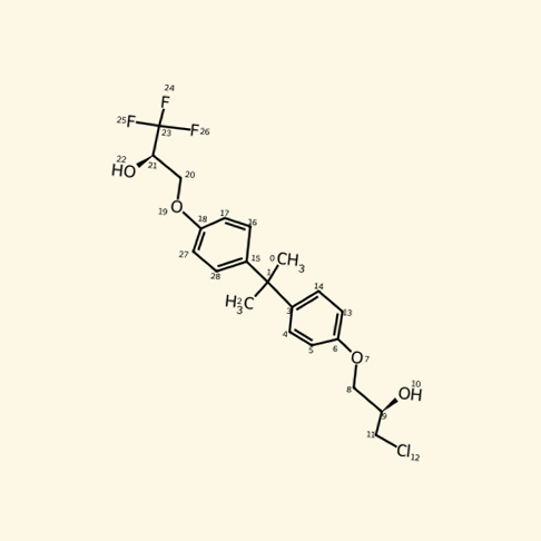 CC(C)(c1ccc(OC[C@@H](O)CCl)cc1)c1ccc(OC[C@@H](O)C(F)(F)F)cc1